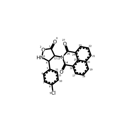 O=C1ONC(c2ccc(Cl)cc2)C1N1C(=O)c2cccc3cccc(c23)C1=O